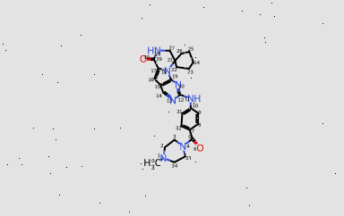 CN1CCN(C(=O)c2ccc(Nc3ncc4cc5n(c4n3)C3(CCCCC3)CNC5=O)cc2)CC1